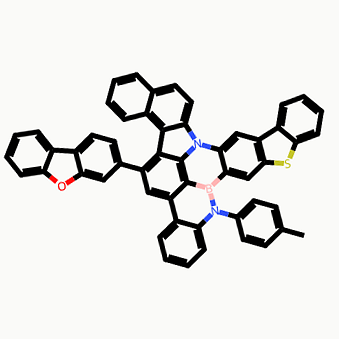 Cc1ccc(N2B3c4cc5sc6ccccc6c5cc4-n4c5ccc6ccccc6c5c5c(-c6ccc7c(c6)oc6ccccc67)cc(c3c54)-c3ccccc32)cc1